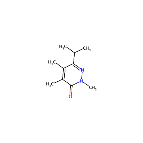 Cc1c(C(C)C)nn(C)c(=O)c1C